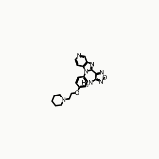 Nc1nonc1-c1nc2cnccc2n1-c1ccc(OCCN2CCCCC2)cc1